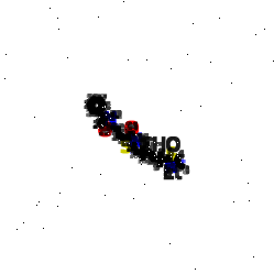 CC[n+]1c(C)csc1C(C)(C)C=CC(C)(C)/C=c1/sc(=C/C=C2\OC=C(c3ccccc3)N2C)c(=O)n1CC=O